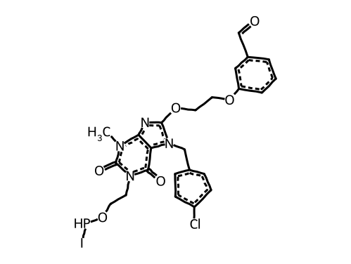 Cn1c(=O)n(CCOPI)c(=O)c2c1nc(OCCOc1cccc(C=O)c1)n2Cc1ccc(Cl)cc1